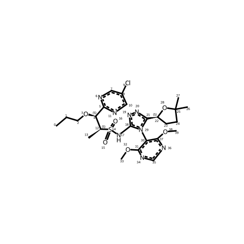 CCCO[C@@H](c1ncc(Cl)cn1)[C@H](C)S(=O)(=O)Nc1nnc([C@@H]2CCC(C)(C)O2)n1-c1c(OC)ncnc1OC